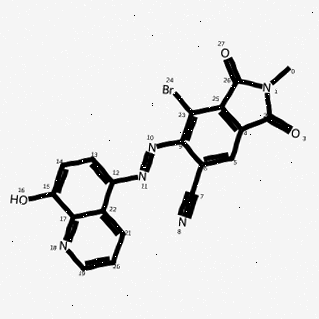 CN1C(=O)c2cc(C#N)c(/N=N/c3ccc(O)c4ncccc34)c(Br)c2C1=O